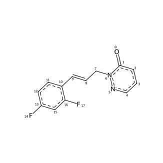 O=c1cccnn1CC=Cc1ccc(F)cc1F